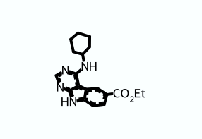 CCOC(=O)c1ccc2[nH]c3ncnc(NC4CCCCC4)c3c2c1